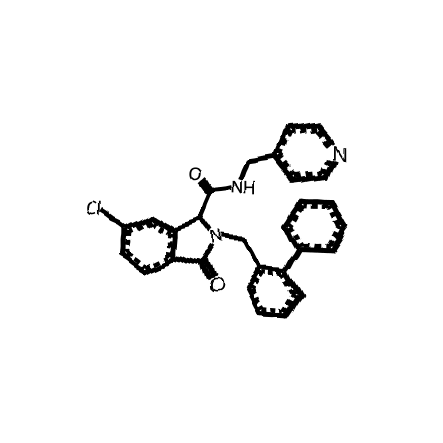 O=C(NCc1ccncc1)C1c2cc(Cl)ccc2C(=O)N1Cc1ccccc1-c1ccccc1